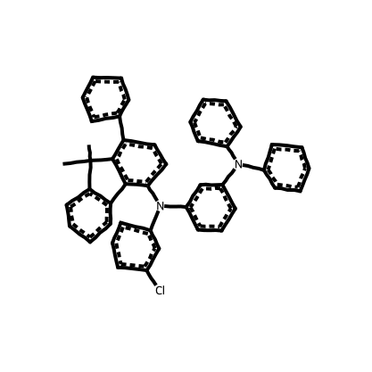 CC1(C)c2ccccc2-c2c(N(c3cccc(Cl)c3)c3cccc(N(c4ccccc4)c4ccccc4)c3)ccc(-c3ccccc3)c21